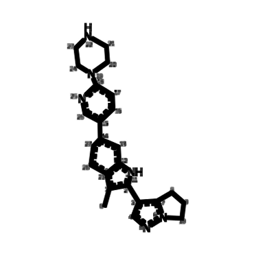 Cc1c(-c2cnn3c2CCC3)[nH]c2cc(-c3ccc(N4CCNCC4)nc3)ccc12